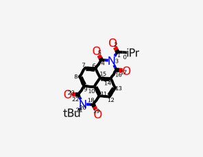 CC(C)C(=O)N1C(=O)c2ccc3c4c(ccc(c24)C1=O)C(=O)N(C(C)(C)C)C3=O